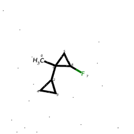 CC1([C]2CC2)CC1F